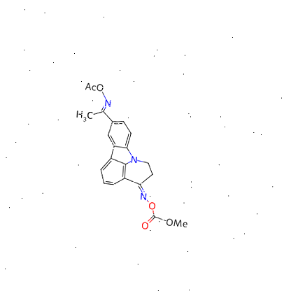 COC(=O)O/N=C1\CCn2c3ccc(/C(C)=N/OC(C)=O)cc3c3cccc1c32